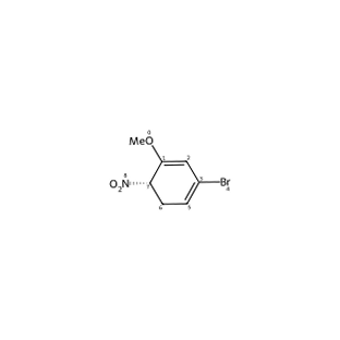 COC1=CC(Br)=CC[C@@H]1[N+](=O)[O-]